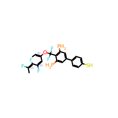 C\C=C(/C=C(F)\C(F)=C(/C)F)OC(F)(F)c1c(P)cc(-c2ccc(S)cc2)cc1P